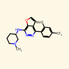 COc1cc(C(F)(F)F)ccc1-c1nnc(N[C@@H]2CCCN(C)C2)c2occc12